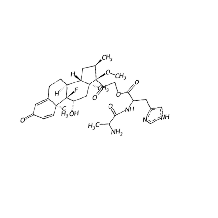 CO[C@]1(C(=O)COC(=O)C(Cc2c[nH]cn2)NC(=O)C(C)N)[C@H](C)C[C@H]2[C@@H]3CCC4=CC(=O)C=C[C@]4(C)[C@@]3(F)[C@@H](O)C[C@@]21C